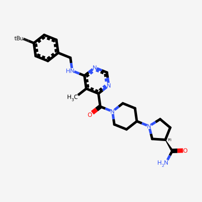 Cc1c(NCc2ccc(C(C)(C)C)cc2)ncnc1C(=O)N1CCC(N2CC[C@@H](C(N)=O)C2)CC1